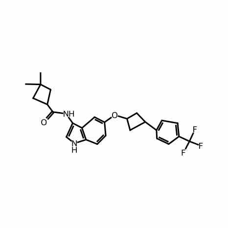 CC1(C)CC(C(=O)Nc2c[nH]c3ccc(OC4CC(c5ccc(C(F)(F)F)cc5)C4)cc23)C1